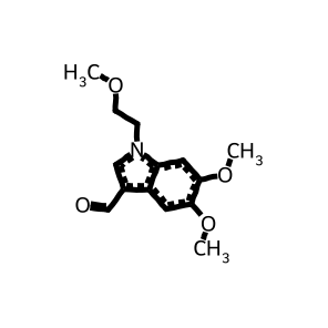 COCCn1cc(C=O)c2cc(OC)c(OC)cc21